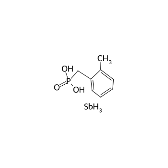 Cc1ccccc1CP(=O)(O)O.[SbH3]